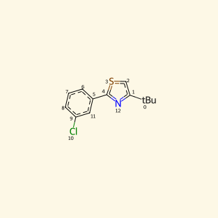 CC(C)(C)c1csc(-c2cccc(Cl)c2)n1